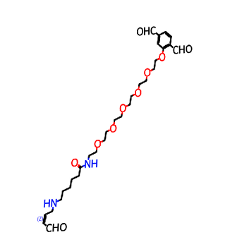 O=C/C=C\CNCCCCCC(=O)NCCOCCOCCOCCOCCOCCOc1cc(C=O)ccc1C=O